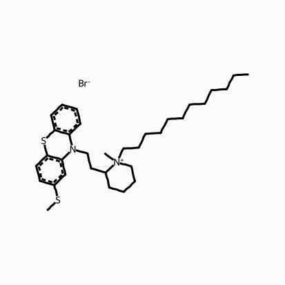 CCCCCCCCCCCC[N+]1(C)CCCCC1CCN1c2ccccc2Sc2ccc(SC)cc21.[Br-]